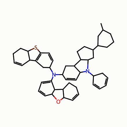 CC1CCCC(C2CCC3C4CC(N(C5=CC=CC6OC7C=CCCC7C56)C5C=CC6=C(C5)C5C=CCCC5S6)C=CC4N(C4C=CC=CC4)C3C2)C1